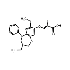 CCC1CSc2cc(O/C=C(\F)C(=O)O)c(SC)cc2N(c2ccccc2)C1